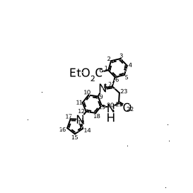 CCOC(=O)c1ccccc1C1=Nc2ccc(-n3cccc3)cc2NC(=O)C1